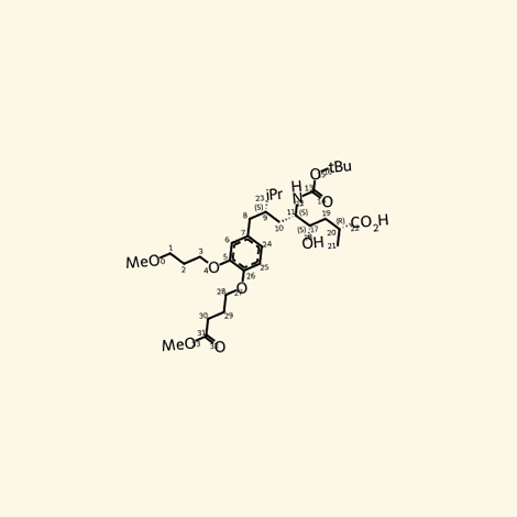 COCCCOc1cc(C[C@@H](C[C@H](NC(=O)OC(C)(C)C)[C@@H](O)C[C@@H](C)C(=O)O)C(C)C)ccc1OCCCC(=O)OC